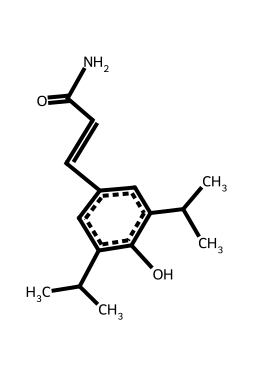 CC(C)c1cc(C=CC(N)=O)cc(C(C)C)c1O